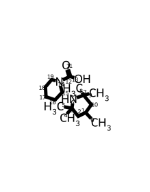 CC1CC(C)(C)NC(C)(C)C1.O=C(O)N1CCCCC1